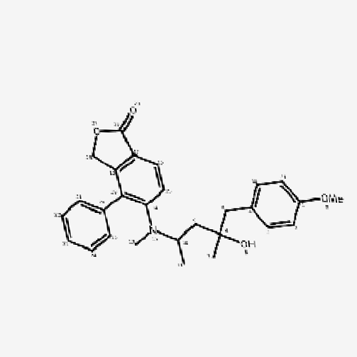 COc1ccc(CC(C)(O)CC(C)N(C)c2ccc3c(c2-c2ccccc2)COC3=O)cc1